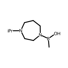 CB(O)N1CCCN(C(C)C)CC1